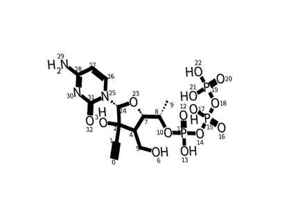 C#CC1(O)C(CO)[C@@H]([C@H](C)OP(=O)(O)OP(=O)(O)OP(=O)(O)O)O[C@H]1n1ccc(N)nc1=O